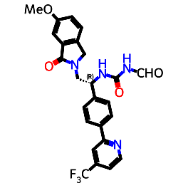 COc1ccc2c(c1)C(=O)N(C[C@H](NC(=O)NC=O)c1ccc(-c3cc(C(F)(F)F)ccn3)cc1)C2